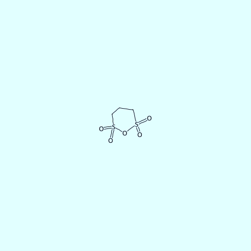 O=S1(=O)CCCS(=O)(=O)O1